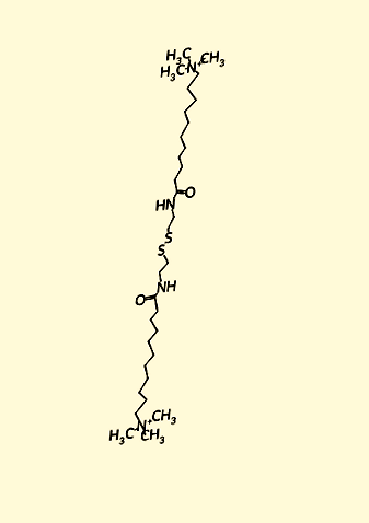 C[N+](C)(C)CCCCCCCCCCC(=O)NCCSSCCNC(=O)CCCCCCCCCC[N+](C)(C)C